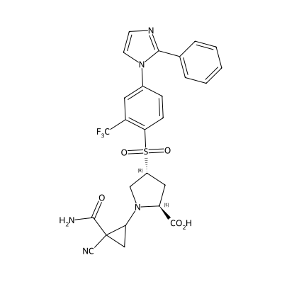 N#CC1(C(N)=O)CC1N1C[C@H](S(=O)(=O)c2ccc(-n3ccnc3-c3ccccc3)cc2C(F)(F)F)C[C@H]1C(=O)O